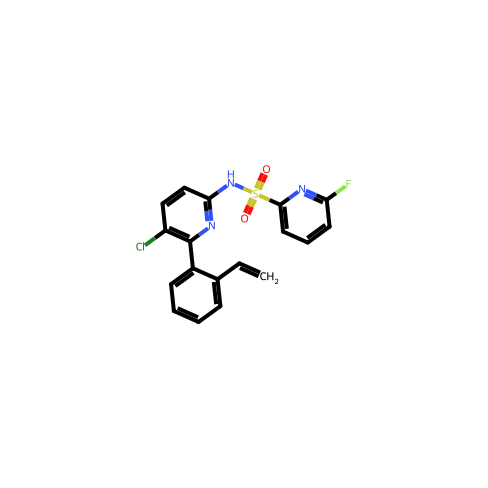 C=Cc1ccccc1-c1nc(NS(=O)(=O)c2cccc(F)n2)ccc1Cl